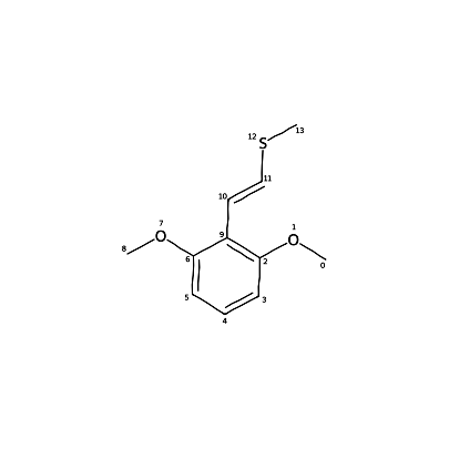 COc1cccc(OC)c1/C=C/SC